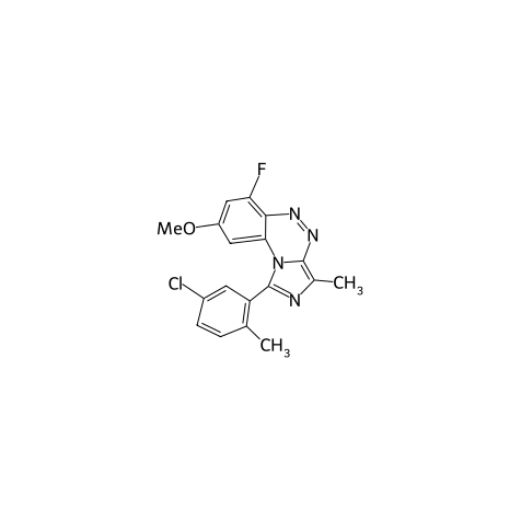 COc1cc(F)c2nnc3c(C)nc(-c4cc(Cl)ccc4C)n3c2c1